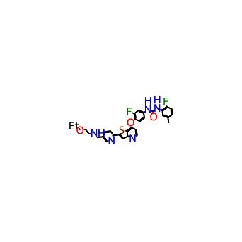 CCOCCNCc1ccc(-c2cc3nccc(Oc4ccc(NC(=O)Nc5cc(C)ccc5F)cc4F)c3s2)nc1